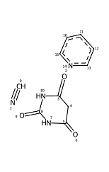 C#N.O=C1CC(=O)NC(=O)N1.c1ccncc1